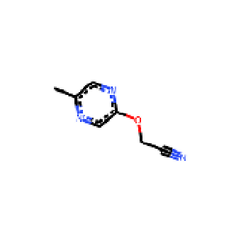 Cc1cnc(OCC#N)cn1